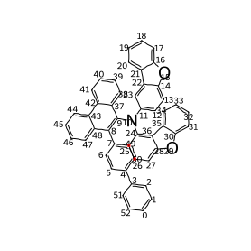 c1ccc(-c2ccc(-c3c(N(c4ccc5oc6ccccc6c5c4)c4cccc5oc6ccccc6c45)c4ccccc4c4ccccc34)cc2)cc1